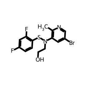 Cc1ncc(Br)cc1N(CCO)Sc1ccc(F)cc1F